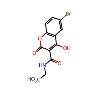 O=C(O)CNC(=O)c1c(O)c2cc(Br)ccc2oc1=O